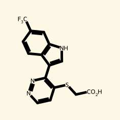 O=C(O)CSc1ccnnc1-c1c[nH]c2cc(C(F)(F)F)ccc12